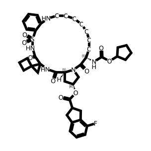 O=C(N[C@H]1CCCCCCCNc2ccccc2S(=O)(=O)NC(=O)C2(CC23CCC3)NC(=O)[C@@H]2C[C@@H](OC(=O)C3Cc4cccc(F)c4C3)CN2C1=O)OC1CCCC1